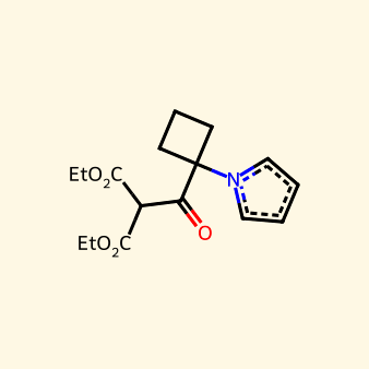 CCOC(=O)C(C(=O)OCC)C(=O)C1(n2cccc2)CCC1